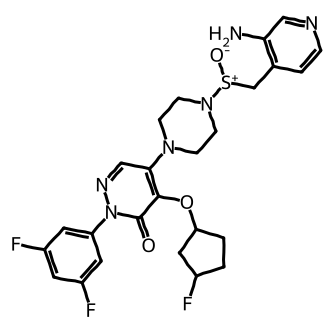 Nc1cnccc1C[S+]([O-])N1CCN(c2cnn(-c3cc(F)cc(F)c3)c(=O)c2OC2CCC(F)C2)CC1